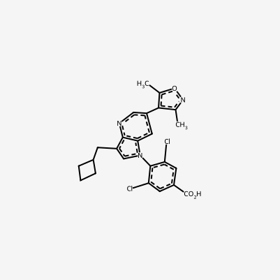 Cc1noc(C)c1-c1cnc2c(CC3CCC3)cn(-c3c(Cl)cc(C(=O)O)cc3Cl)c2c1